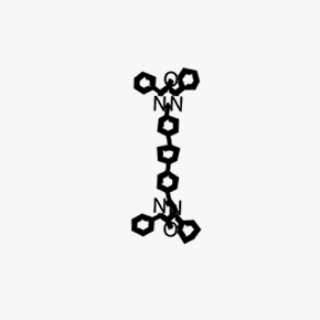 c1ccc(-c2nc(-c3ccc(-c4ccc(-c5ccc(-c6nc(-c7ccccc7)c7oc8ccccc8c7n6)cc5)cc4)cc3)nc3c2oc2ccccc23)cc1